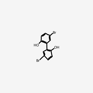 Oc1ccc(Br)cc1-c1cc(Br)ccc1O